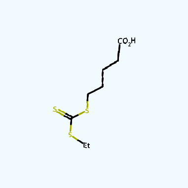 CCSC(=S)SCCCCC(=O)O